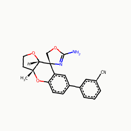 C[C@@]12CCO[C@@H]1[C@@]1(COC(N)=N1)c1cc(-c3cccc(C#N)c3)ccc1O2